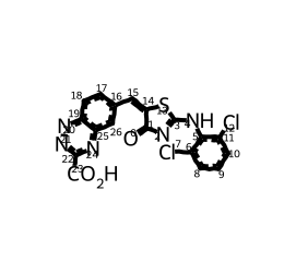 O=C1N=C(Nc2c(Cl)cccc2Cl)SC1=Cc1ccc2nnc(C(=O)O)nc2c1